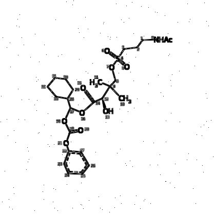 CC(=O)NCCCS(=O)(=O)OCC(C)(C)[C@@H](O)C(=O)OC(OC(=O)Oc1ccccc1)C1CCCCC1